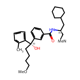 CNC[C@H](CC1CCCCC1)NC(=O)c1cccc([C@@](O)(CCCCOC)c2ccccc2C)c1